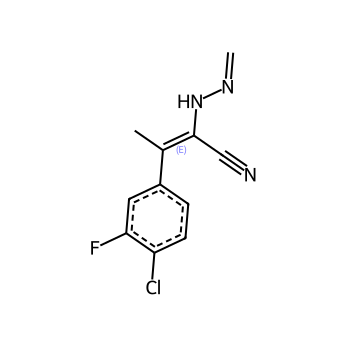 C=NN/C(C#N)=C(\C)c1ccc(Cl)c(F)c1